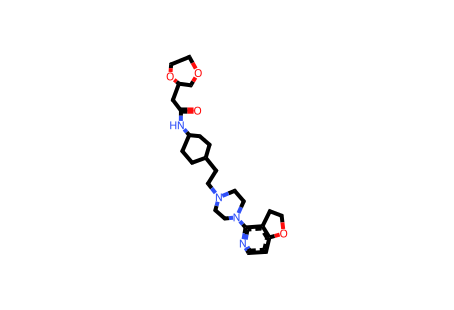 O=C(CC1COCCO1)NC1CCC(CCN2CCN(c3nccc4c3CCO4)CC2)CC1